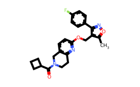 Cc1onc(-c2ccc(F)cc2)c1COc1ccc2c(n1)CCN(C(=O)C1CCC1)C2